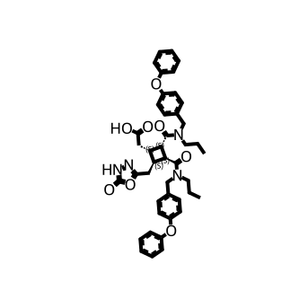 CCCN(Cc1ccc(Oc2ccccc2)cc1)C(=O)[C@H]1[C@@H](CC(=O)O)[C@H](Cc2n[nH]c(=O)o2)[C@@H]1C(=O)N(CCC)Cc1ccc(Oc2ccccc2)cc1